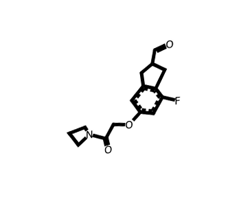 O=CC1Cc2cc(OCC(=O)N3CCC3)cc(F)c2C1